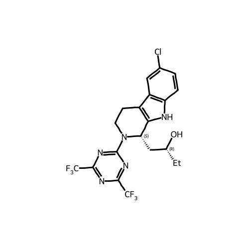 CC[C@@H](O)C[C@H]1c2[nH]c3ccc(Cl)cc3c2CCN1c1nc(C(F)(F)F)nc(C(F)(F)F)n1